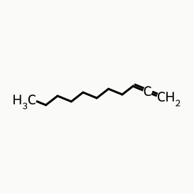 C=C=CCCCCCCCC